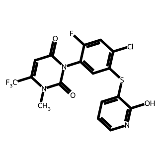 Cn1c(C(F)(F)F)cc(=O)n(-c2cc(Sc3cccnc3O)c(Cl)cc2F)c1=O